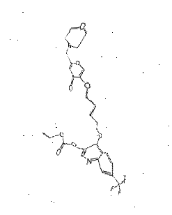 CCOC(=O)Oc1cnc2cc(C(F)(F)F)ccc2c1OCCCCCOc1coc(CN2CCOCC2)cc1=O